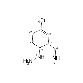 CCC1=CC(C=N)C(NN)C=C1